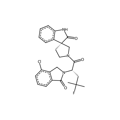 CC(C)(F)C[C@@H](C(=O)N1CC[C@@]2(C1)C(=O)Nc1ccccc12)N1Cc2c(Cl)cccc2C1=O